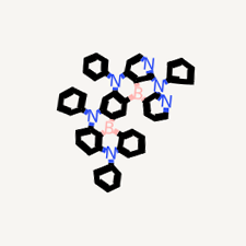 c1ccc(N2c3ccccc3B3c4cc5c(cc4N(c4ccccc4)c4cccc2c43)N(c2ccccc2)c2ccnc3c2B5c2cccnc2N3c2ccccc2)cc1